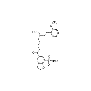 CNS(=O)(=O)c1cc(C(=O)CCCCN(CCc2ccccc2OC(F)(F)F)C(=O)O)cc2c1OCC2